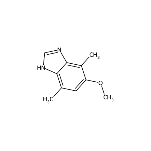 COc1cc(C)c2[nH]cnc2c1C